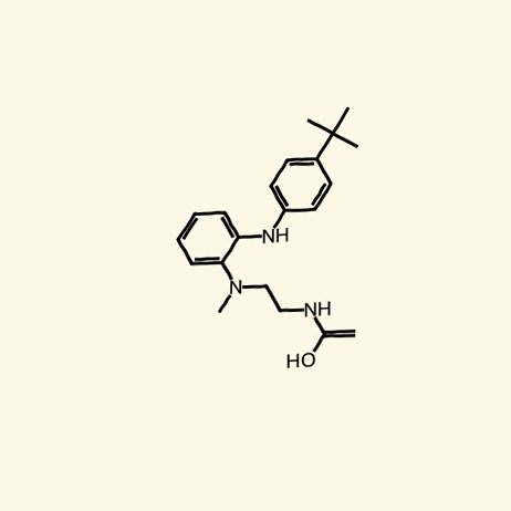 C=C(O)NCCN(C)c1ccccc1Nc1ccc(C(C)(C)C)cc1